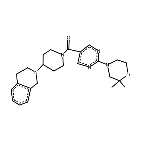 CC1(C)CN(c2ncc(C(=O)N3CCC(N4CCc5ccccc5C4)CC3)cn2)CCO1